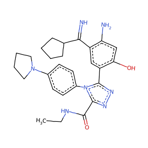 CCNC(=O)c1nnc(-c2cc(C(=N)C3CCCC3)c(N)cc2O)n1-c1ccc(N2CCCC2)cc1